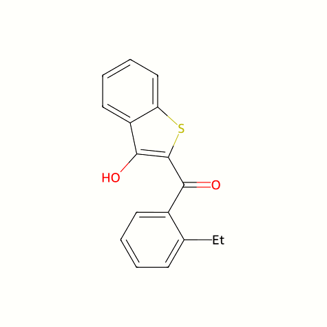 CCc1ccccc1C(=O)c1sc2ccccc2c1O